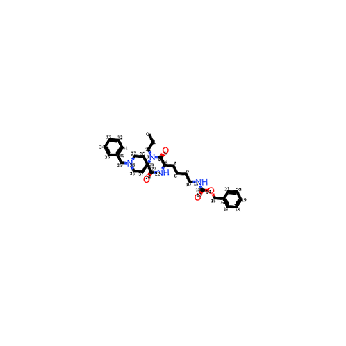 CCCN1C(=O)C(CCCCNC(=O)OCc2ccccc2)NC(=O)C12CCN(Cc1ccccc1)CC2